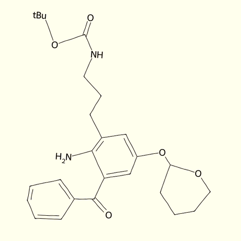 CC(C)(C)OC(=O)NCCCc1cc(OC2CCCCO2)cc(C(=O)c2ccccc2)c1N